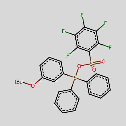 CC(C)(C)Oc1cccc(S(OS(=O)(=O)c2c(F)c(F)c(F)c(F)c2F)(c2ccccc2)c2ccccc2)c1